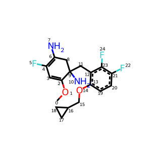 COC1=CC(F)=C(N)CC1(N)Cc1c(OCC2CC2)ccc(F)c1F